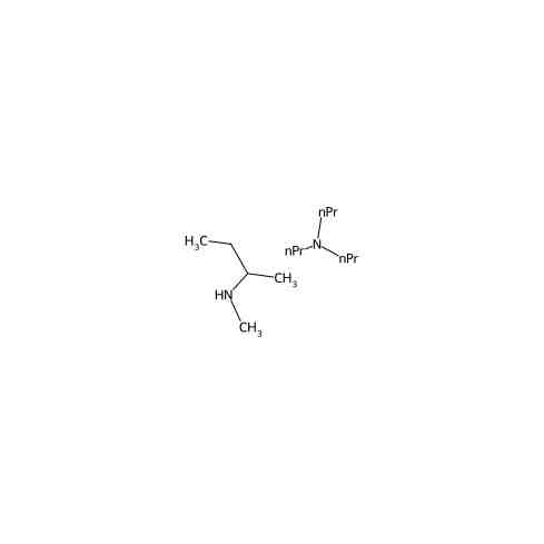 CCC(C)NC.CCCN(CCC)CCC